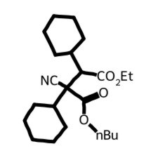 CCCCOC(=O)C(C#N)(C1CCCCC1)C(C(=O)OCC)C1CCCCC1